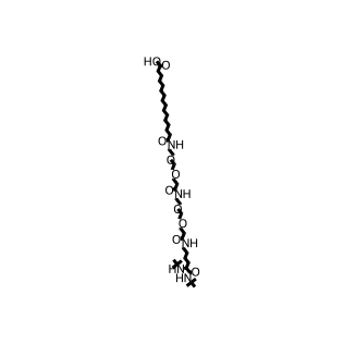 CC(C)(C)NC(=O)C(CCCCNC(=O)CCOCCOCCNC(=O)CCOCCOCCNC(=O)CCCCCCCCCCCCCCC(=O)O)NC(C)(C)C